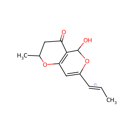 C/C=C/C1=CC2=C(C(=O)CC(C)O2)C(O)O1